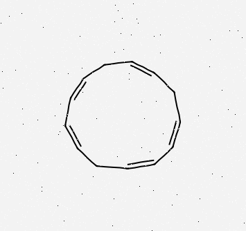 C1=CCC=CC=CCC=CCC=C1